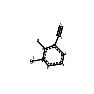 C#Cc1cccc(Br)c1C